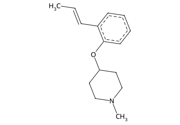 C/C=C/c1ccccc1OC1CCN(C)CC1